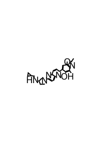 Cc1nc2c(C)c(O)c(-c3ccc4nc(N5CCC(NCC6CC6)C5)ccc4n3)cc2o1